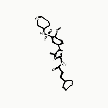 COc1ccc(-c2sc(NC(=O)CCC3CCCC3)nc2C)cc1S(=O)(=O)NC1CCCNC1